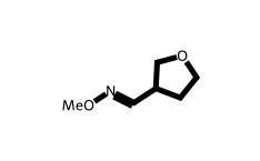 CON=CC1CCOC1